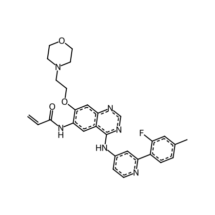 C=CC(=O)Nc1cc2c(Nc3ccnc(-c4ccc(C)cc4F)c3)ncnc2cc1OCCN1CCOCC1